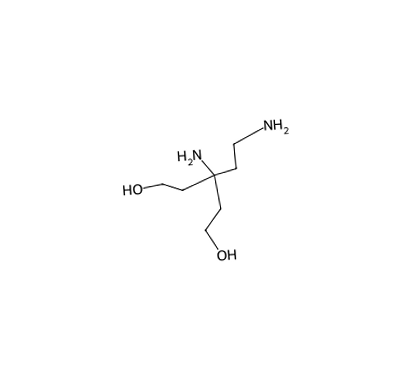 NCCC(N)(CCO)CCO